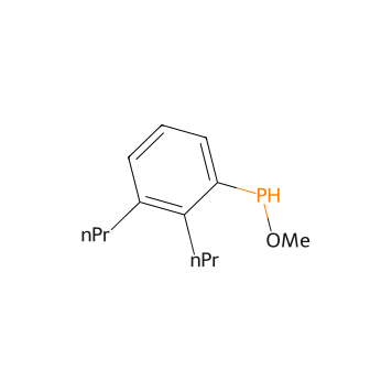 CCCc1cccc(POC)c1CCC